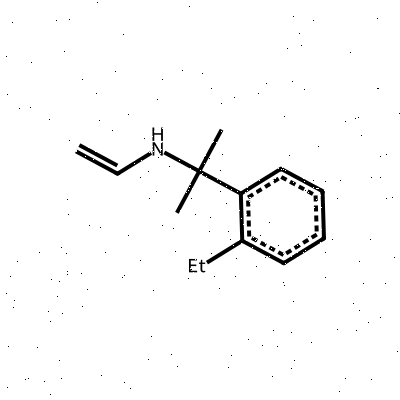 C=CNC(C)(C)c1ccccc1CC